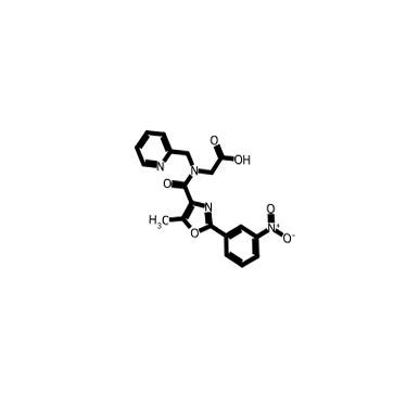 Cc1oc(-c2cccc([N+](=O)[O-])c2)nc1C(=O)N(CC(=O)O)Cc1ccccn1